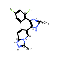 Cc1nc(-c2ccc(F)cc2F)c(-c2ccc3nnc(C(C)C)n3c2)[nH]1